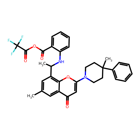 Cc1cc(C(C)Nc2ccccc2C(=O)OC(=O)C(F)(F)F)c2oc(N3CCC(C)(c4ccccc4)CC3)cc(=O)c2c1